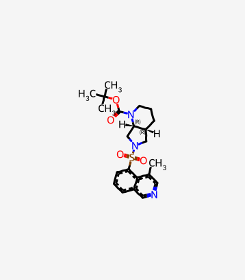 Cc1cncc2cccc(S(=O)(=O)N3C[C@H]4CCCN(C(=O)OC(C)(C)C)[C@H]4C3)c12